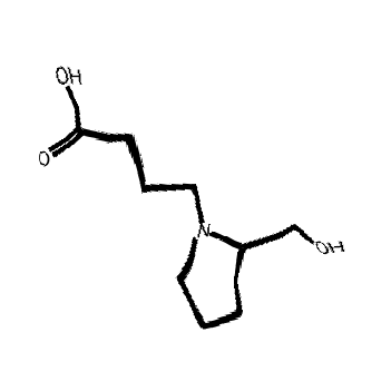 O=C(O)CCCN1CCCC1CO